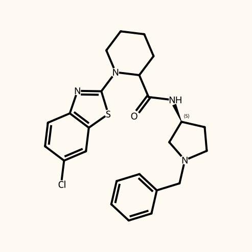 O=C(N[C@H]1CCN(Cc2ccccc2)C1)C1CCCCN1c1nc2ccc(Cl)cc2s1